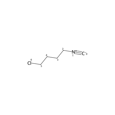 [C-]#[N+]CCCCCl